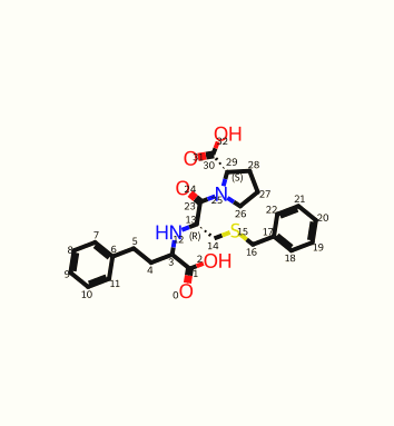 O=C(O)C(CCc1ccccc1)N[C@@H](CSCc1ccccc1)C(=O)N1CCC[C@H]1C(=O)O